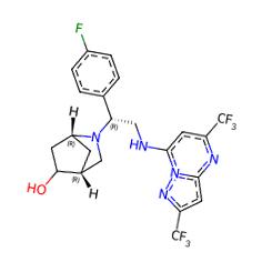 OC1C[C@H]2C[C@@H]1CN2[C@@H](CNc1cc(C(F)(F)F)nc2cc(C(F)(F)F)nn12)c1ccc(F)cc1